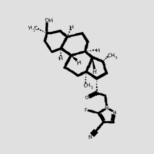 C[C@@H]1C[C@H](C(=O)Cn2ncc(C#N)c2F)[C@@]2(C)CC[C@H]3[C@@H](CC[C@@H]4C[C@](C)(O)CC[C@@H]43)[C@H]12